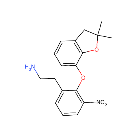 CC1(C)Cc2cccc(Oc3c(CCN)cccc3[N+](=O)[O-])c2O1